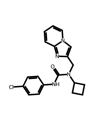 O=C(Nc1ccc(Cl)cc1)N(Cc1cn2ccccc2n1)C1CCC1